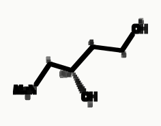 CNC[C@@H](O)CCO